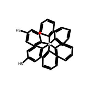 Sc1ccc(S(c2ccccc2)(c2ccccc2)(c2ccccc2)(c2ccccc2)c2ccc(S)cc2)cc1